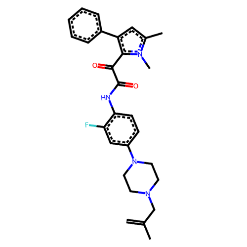 C=C(C)CN1CCN(c2ccc(NC(=O)C(=O)c3c(-c4ccccc4)cc(C)n3C)c(F)c2)CC1